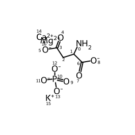 NC(CC(=O)[O-])C(=O)[O-].O=P([O-])([O-])[O-].[Ca+2].[K+].[Mg+2]